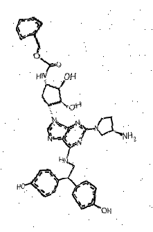 N[C@@H]1CCN(c2nc(NCC(c3ccc(O)cc3)c3ccc(O)cc3)c3ncn([C@@H]4C[C@H](NC(=O)OCc5ccccc5)[C@@H](O)[C@H]4O)c3n2)C1